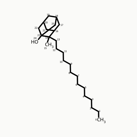 CCCCCCCCCCCCCCC1(C)C2CC3CC(C2)CC1(O)C3